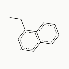 CCc1c[c]cc2ccccc12